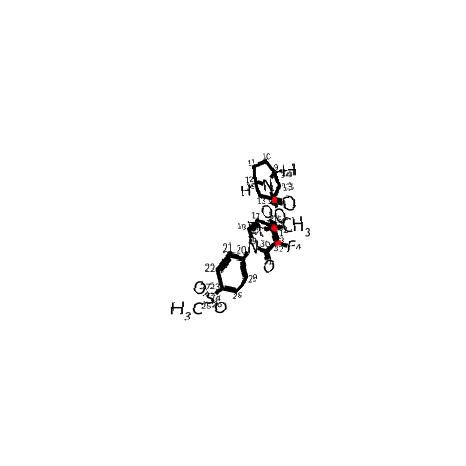 CCC(C)(CF)OC(=O)N1[C@@H]2CC[C@@H]1CC(Oc1ccn(-c3ccc(S(C)(=O)=O)cc3)c(=O)c1)C2